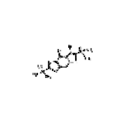 C[Si](C)(C)c1cc2cc3sc([Si](C)(C)C)c(Br)c3c(Br)c2s1